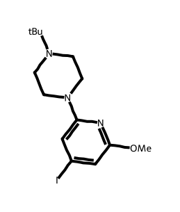 COc1cc(I)cc(N2CCN(C(C)(C)C)CC2)n1